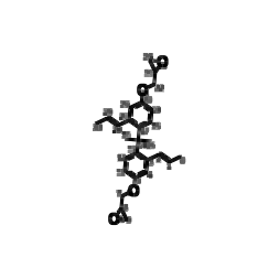 CC=Cc1cc(OCC2CO2)ccc1C(C)(C)c1ccc(OCC2CO2)cc1C=CC